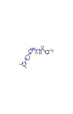 Cc1cc(C)cc(N2CCC(N3CC[C@@H](NC(=O)CNC(=O)c4cccc(CF)c4)C3)CC2)c1